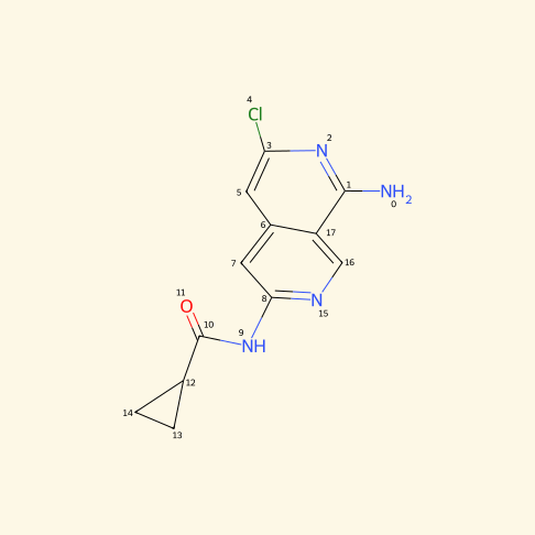 Nc1nc(Cl)cc2cc(NC(=O)C3CC3)ncc12